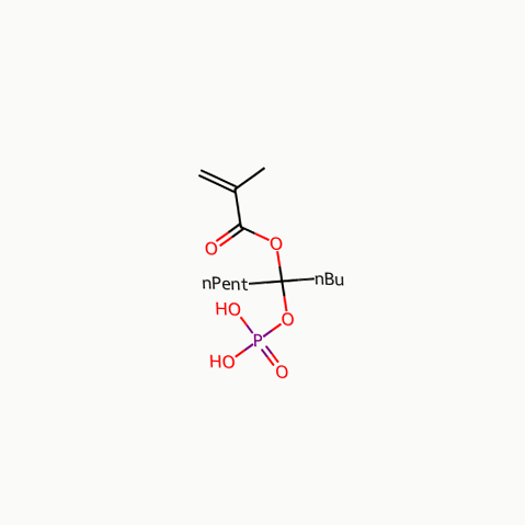 C=C(C)C(=O)OC(CCCC)(CCCCC)OP(=O)(O)O